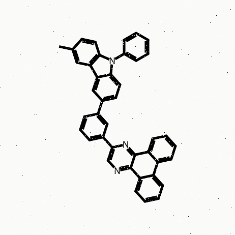 Cc1ccc2c(c1)c1cc(-c3cccc(-c4cnc5c6ccccc6c6ccccc6c5n4)c3)ccc1n2-c1ccccc1